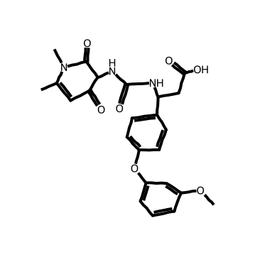 COc1cccc(Oc2ccc(C(CC(=O)O)NC(=O)NC3C(=O)C=C(C)N(C)C3=O)cc2)c1